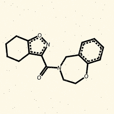 O=C(c1noc2c1CCCC2)N1CCOc2ccccc2C1